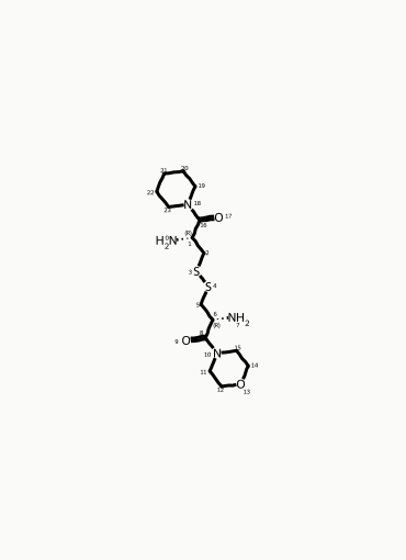 N[C@@H](CSSC[C@H](N)C(=O)N1CCOCC1)C(=O)N1CCCCC1